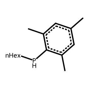 CCCCCCPc1c(C)cc(C)cc1C